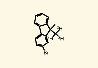 [2H]C([2H])([2H])C1(C)c2ccccc2-c2ccc(Br)cc21